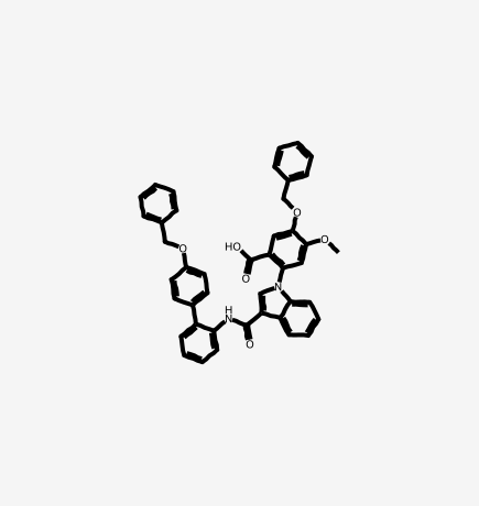 COc1cc(-n2cc(C(=O)Nc3ccccc3-c3ccc(OCc4ccccc4)cc3)c3ccccc32)c(C(=O)O)cc1OCc1ccccc1